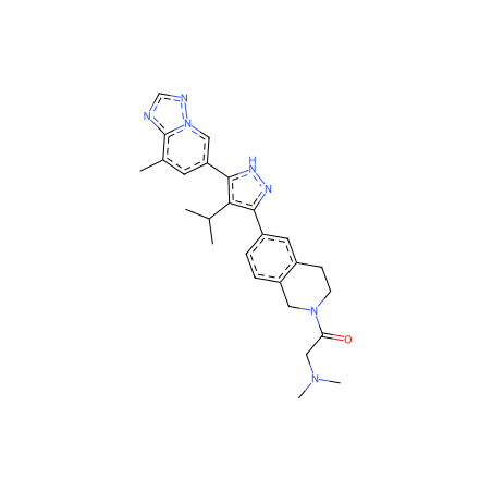 Cc1cc(-c2[nH]nc(-c3ccc4c(c3)CCN(C(=O)CN(C)C)C4)c2C(C)C)cn2ncnc12